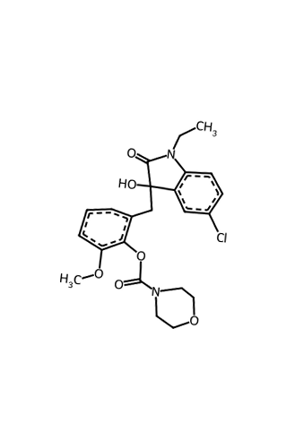 CCN1C(=O)C(O)(Cc2cccc(OC)c2OC(=O)N2CCOCC2)c2cc(Cl)ccc21